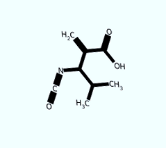 C=C(C(=O)O)C(N=C=O)C(C)C